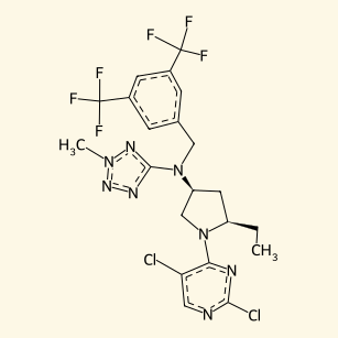 CC[C@@H]1C[C@H](N(Cc2cc(C(F)(F)F)cc(C(F)(F)F)c2)c2nnn(C)n2)CN1c1nc(Cl)ncc1Cl